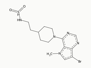 Cn1cc(Br)c2ncnc(N3CCC(CCN[SH](=O)=O)CC3)c21